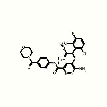 C=C(B=O)C(Oc1cc(C(=O)Nc2ccc(C(=O)N3CCOCC3)cc2)nnc1N)c1c(Cl)ccc(F)c1Cl